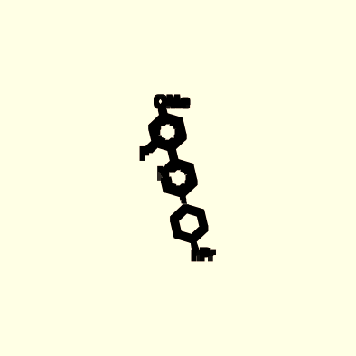 CCC[C@H]1CC[C@H](c2ccc(-c3ccc(OC)cc3F)nc2)CC1